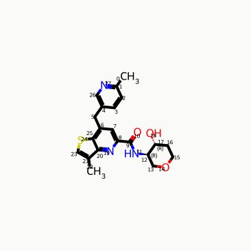 Cc1ccc(Cc2cc(C(=O)N[C@@H]3COCC[C@H]3O)nc3c(C)csc23)cn1